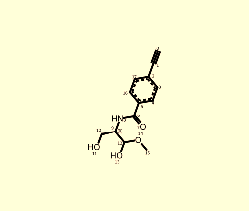 C#Cc1ccc(C(=O)N[C@H](CO)C(O)OC)cc1